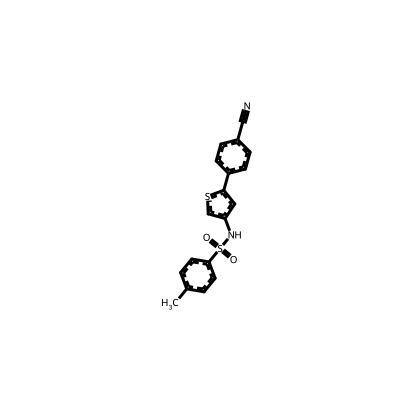 Cc1ccc(S(=O)(=O)Nc2csc(-c3ccc(C#N)cc3)c2)cc1